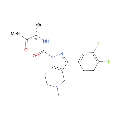 CNC(=O)[C@@H](NC(=O)n1nc(-c2ccc(F)c(F)c2)c2c1CCN(C)C2)C(C)(C)C